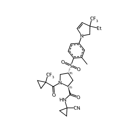 CCC1(C(F)(F)F)C=CN(c2ccc(S(=O)(=O)[C@@H]3C[C@@H](C(=O)NC4(C#N)CC4)N(C(=O)C4(C(F)(F)F)CC4)C3)c(C)c2)C1